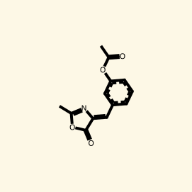 CC(=O)Oc1cccc(/C=C2\N=C(C)OC2=O)c1